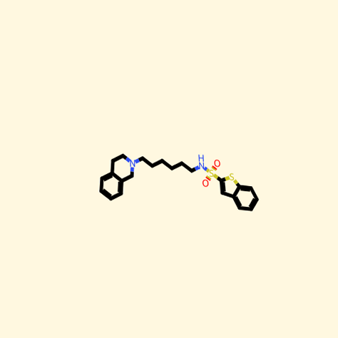 O=S(=O)(NCCCCCCN1CCc2ccccc2C1)c1cc2ccccc2s1